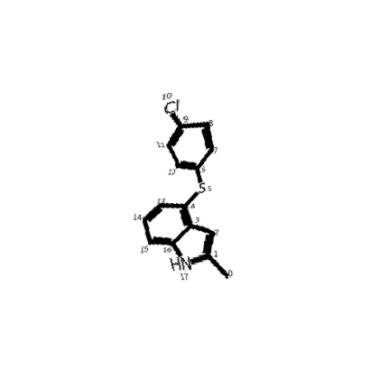 Cc1cc2c(Sc3ccc(Cl)cc3)cccc2[nH]1